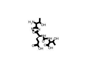 CC(O)C(NC(=O)N[C@@H](CCC(=O)O)c1nc(C(N)C(C)O)no1)C(=O)O